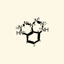 c1cc2c3c(c1)N[N+]=NN3N=[N+]N2